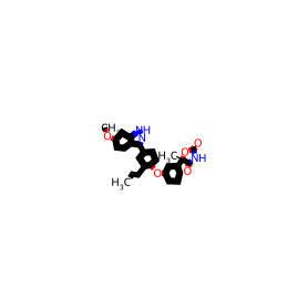 CCCc1cc(-c2n[nH]c3cc(OC)ccc23)ccc1Oc1cccc([C@@]2(C)OC(=O)NC2=O)c1